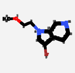 COCCn1cc(Br)c2ccncc21